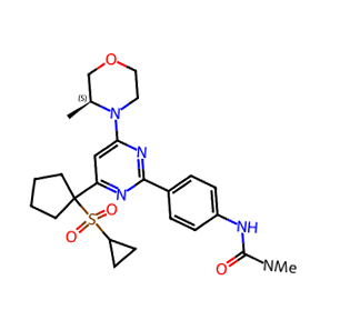 CNC(=O)Nc1ccc(-c2nc(N3CCOC[C@@H]3C)cc(C3(S(=O)(=O)C4CC4)CCCC3)n2)cc1